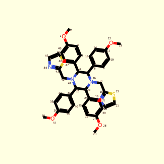 COc1ccc(C2C(c3ccc(OC)cc3)N(Cc3nccs3)C(c3ccc(OC)cc3)C(c3ccc(OC)cc3)N2Cc2nccs2)cc1